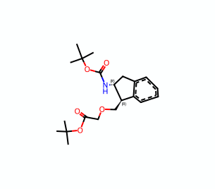 CC(C)(C)OC(=O)COC[C@@H]1c2ccccc2C[C@H]1NC(=O)OC(C)(C)C